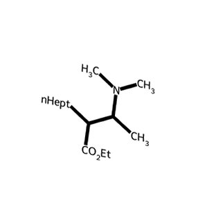 CCCCCCCC(C(=O)OCC)C(C)N(C)C